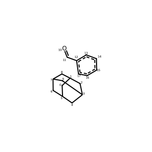 C1C2CC3CC1CC(C2)C3.O=Cc1ccccc1